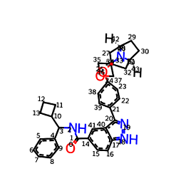 O=C(NC(c1ccccc1)C1CCC1)c1ccc2[nH]nc(-c3ccc(OC4C[C@H]5CC[C@@H](C4)N5C4COC4)cc3)c2c1